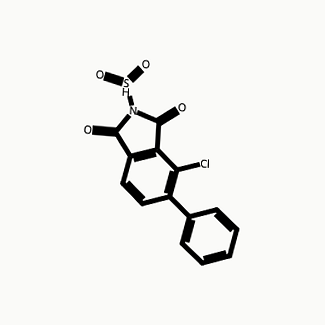 O=C1c2ccc(-c3ccccc3)c(Cl)c2C(=O)N1[SH](=O)=O